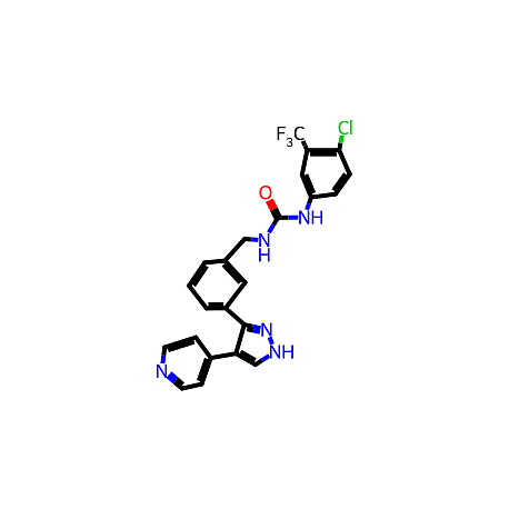 O=C(NCc1cccc(-c2n[nH]cc2-c2ccncc2)c1)Nc1ccc(Cl)c(C(F)(F)F)c1